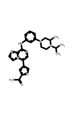 CC(C)N1CCN(c2cccc(Nc3ncc(-c4coc(C(N)=O)c4)n4ccnc34)c2)CC1C